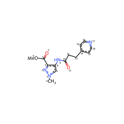 COC(=O)c1nn(C)cc1NC(=O)CCc1ccncc1